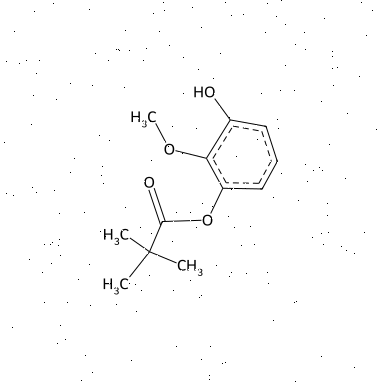 COc1c(O)cccc1OC(=O)C(C)(C)C